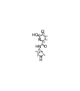 O=C(NC1CC2CC1CN2)c1ccc(Cl)c(O)n1